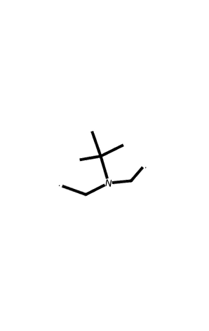 [CH2]CN(C[CH2])C(C)(C)C